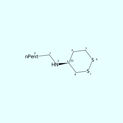 CCCCCCN[C@H]1CCSSC1